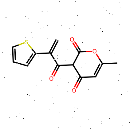 C=C(C(=O)C1C(=O)C=C(C)OC1=O)c1cccs1